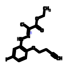 C#CCCOc1ccc(I)cc1N/N=C(\Cl)C(=O)OCC